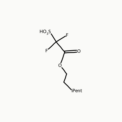 CCCC(C)CCOC(=O)C(F)(F)S(=O)(=O)O